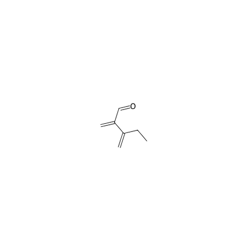 C=C(C=O)C(=C)CC